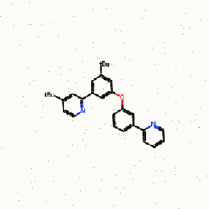 CC(C)(C)c1cc(Oc2cccc(-c3ccccn3)c2)cc(-c2cc(C(C)(C)C)ccn2)c1